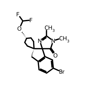 CC1=NC2(C(=O)N1C)c1cc(Br)ccc1C[C@]21CC[C@@H](OC(F)F)CC1